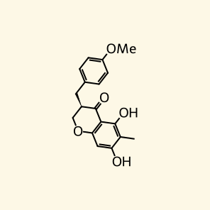 COc1ccc(C[C@@H]2COc3cc(O)c(C)c(O)c3C2=O)cc1